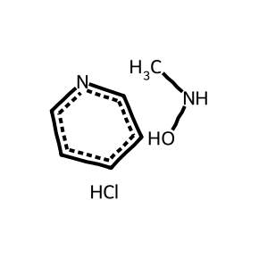 CNO.Cl.c1ccncc1